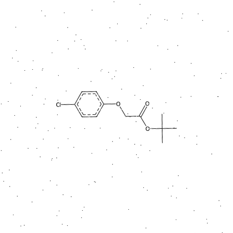 CC(C)(C)OC(=O)COc1ccc(Cl)cc1